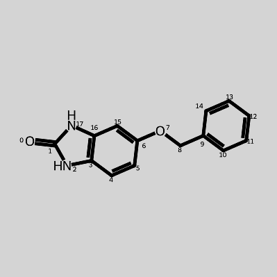 O=c1[nH]c2ccc(OCc3ccccc3)cc2[nH]1